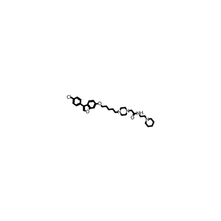 O=C(CN1CCN(CCCCCOc2ccc3c(-c4ccc(Cl)cc4)coc3c2)CC1)NCCN1CCCCC1